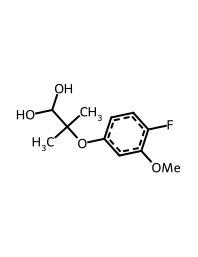 COc1cc(OC(C)(C)C(O)O)ccc1F